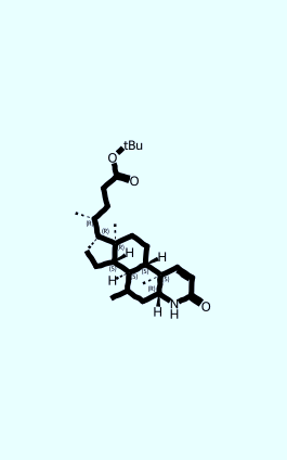 CC1C[C@H]2NC(=O)C=C[C@]2(C)[C@H]2CC[C@]3(C)[C@@H]([C@H](C)CCC(=O)OC(C)(C)C)CC[C@H]3[C@H]12